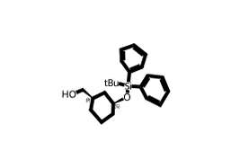 CC(C)(C)[Si](O[C@H]1CCC[C@@H](CO)C1)(c1ccccc1)c1ccccc1